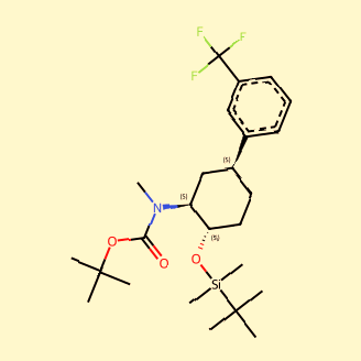 CN(C(=O)OC(C)(C)C)[C@H]1C[C@@H](c2cccc(C(F)(F)F)c2)CC[C@@H]1O[Si](C)(C)C(C)(C)C